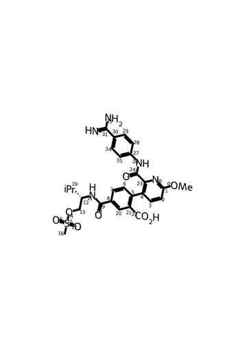 COc1ccc(-c2ccc(C(=O)N[C@H](COS(C)(=O)=O)C(C)C)cc2C(=O)O)c(C(=O)Nc2ccc(C(=N)N)cc2)n1